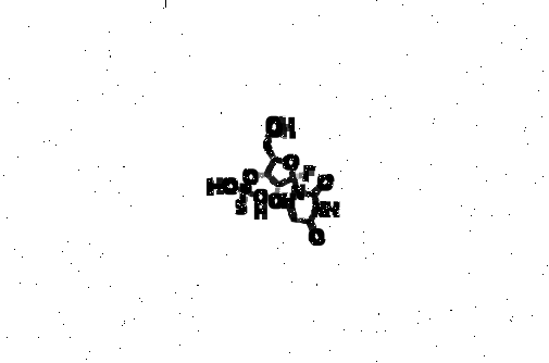 O=c1ccn([C@]2(F)O[C@H](CO)[C@@H](OP(O)(O)=S)[C@H]2O)c(=O)[nH]1